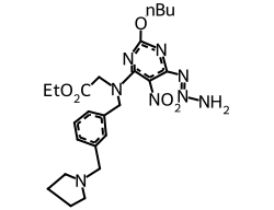 CCCCOc1nc(N=NN)c([N+](=O)[O-])c(N(CC(=O)OCC)Cc2cccc(CN3CCCC3)c2)n1